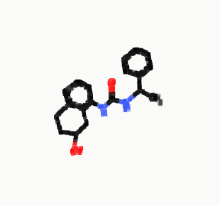 CC(NC(=O)Nc1cccc2c1CC(O)CC2)c1ccccc1